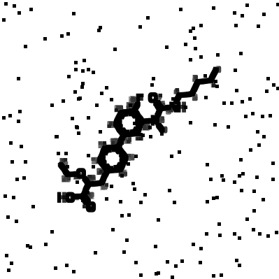 CCCCCNC(=O)N(C)c1cc(-c2ccc(CC(OCC)C(=O)O)cc2)ccc1F